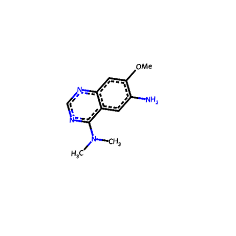 COc1cc2ncnc(N(C)C)c2cc1N